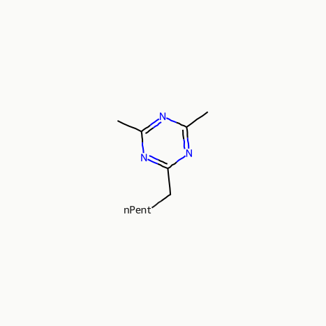 CCCCCCc1nc(C)nc(C)n1